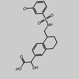 O=C(O)C(O)c1ccc2c(c1)CCCC2CNS(=O)(=O)c1cccc(Cl)c1